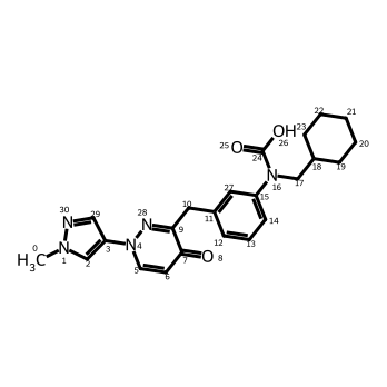 Cn1cc(-n2ccc(=O)c(Cc3cccc(N(CC4CCCCC4)C(=O)O)c3)n2)cn1